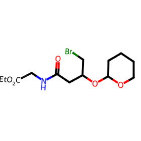 CCOC(=O)CNC(=O)CC(CBr)OC1CCCCO1